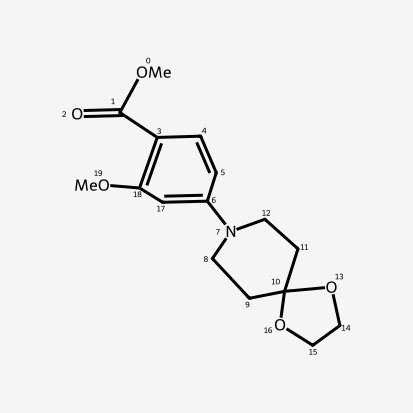 COC(=O)c1ccc(N2CCC3(CC2)OCCO3)cc1OC